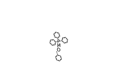 c1ccc(COCC[PH](c2ccccc2)(c2ccccc2)c2ccccc2)cc1